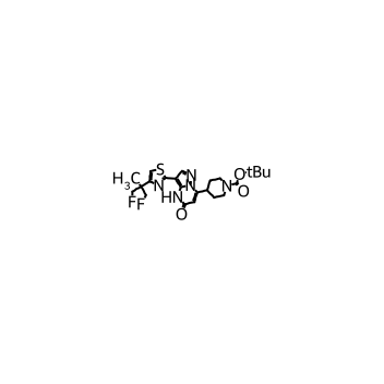 CC(C)(C)OC(=O)N1CCC(c2cc(=O)[nH]c3c(-c4nc(C(C)(CF)CF)cs4)cnn23)CC1